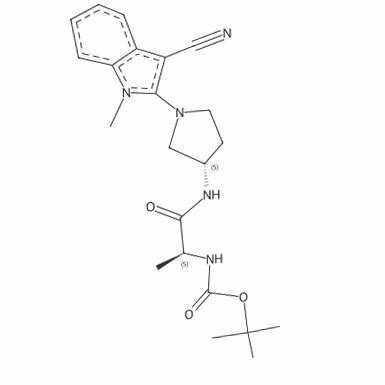 C[C@H](NC(=O)OC(C)(C)C)C(=O)N[C@H]1CCN(c2c(C#N)c3ccccc3n2C)C1